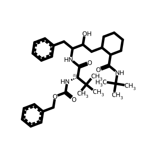 CC(C)(C)NC(=O)C1CCCCC1CC(O)C(Cc1ccccc1)NC(=O)[C@@H](NC(=O)OCc1ccccc1)C(C)(C)C